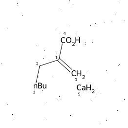 C=C(CCCCC)C(=O)O.[CaH2]